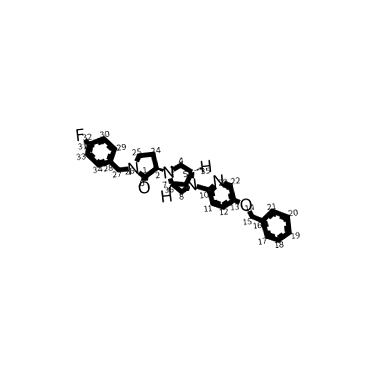 O=C1[C@H](N2C[C@@H]3C[C@H]2CN3c2ccc(OCc3ccccc3)cn2)CCN1Cc1ccc(F)cc1